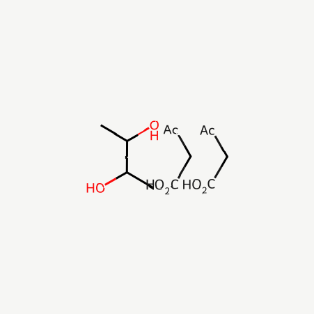 CC(=O)CC(=O)O.CC(=O)CC(=O)O.CC(O)C(C)O